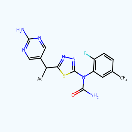 CC(=O)C(c1cnc(N)nc1)c1nnc(N(C(N)=O)c2cc(C(F)(F)F)ccc2F)s1